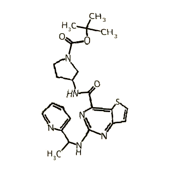 CC(Nc1nc(C(=O)NC2CCN(C(=O)OC(C)(C)C)C2)c2sccc2n1)c1ccccn1